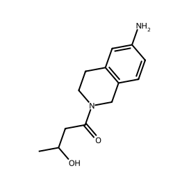 CC(O)CC(=O)N1CCc2cc(N)ccc2C1